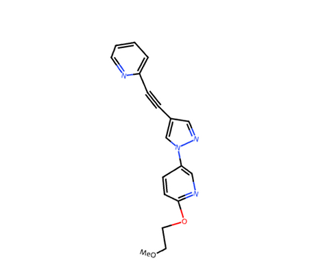 COCCOc1ccc(-n2cc(C#Cc3ccccn3)cn2)cn1